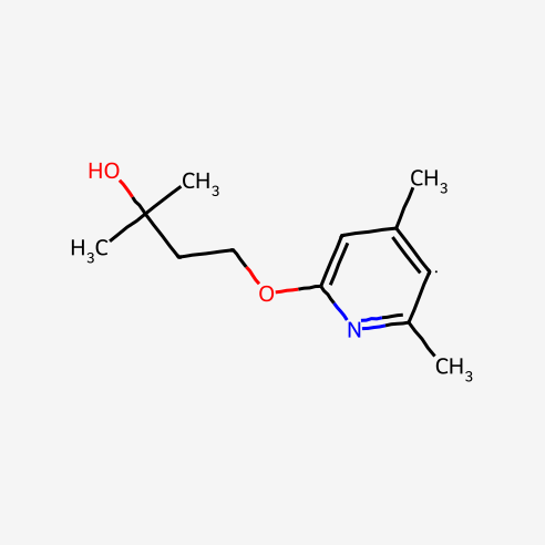 Cc1[c]c(C)nc(OCCC(C)(C)O)c1